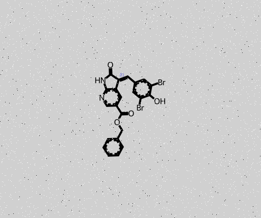 O=C1Nc2ncc(C(=O)OCc3ccccc3)cc2/C1=C\c1cc(Br)c(O)c(Br)c1